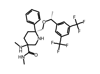 CNC(=O)C1(NC)CC[C@@](CO[C@H](C)c2cc(C(F)(F)F)cc(C(F)(F)F)c2)(c2ccccc2)NC1